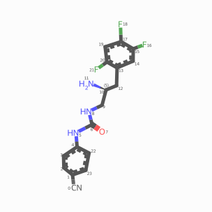 N#Cc1ccc(NC(=O)NC[C@@H](N)Cc2cc(F)c(F)cc2F)cc1